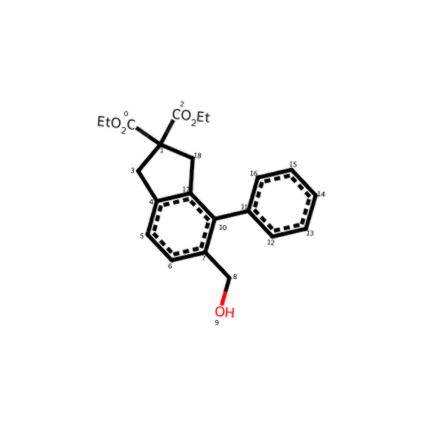 CCOC(=O)C1(C(=O)OCC)Cc2ccc(CO)c(-c3ccccc3)c2C1